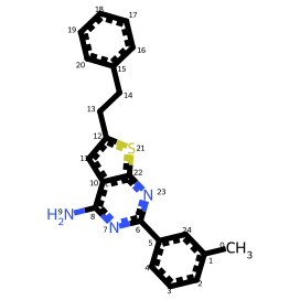 Cc1cccc(-c2nc(N)c3cc(CCc4ccccc4)sc3n2)c1